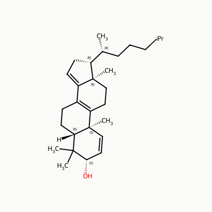 CC(C)CCC[C@@H](C)[C@H]1CC=C2C3=C(CC[C@@]21C)[C@@]1(C)C=C[C@H](O)C(C)(C)[C@@H]1CC3